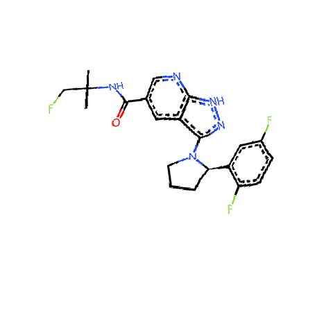 CC(C)(CF)NC(=O)c1cnc2[nH]nc(N3CCC[C@@H]3c3cc(F)ccc3F)c2c1